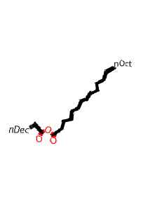 CCCCCCCCC=CCCCCCCCCCCCC(=O)OC(=O)CCCCCCCCCCC